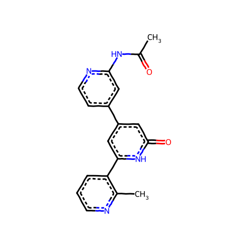 CC(=O)Nc1cc(-c2cc(-c3cccnc3C)[nH]c(=O)c2)ccn1